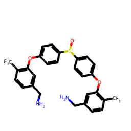 NCc1ccc(C(F)(F)F)c(Oc2ccc([S+]([O-])c3ccc(Oc4cc(CN)ccc4C(F)(F)F)cc3)cc2)c1